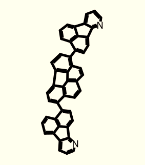 c1cnc2c(c1)-c1cccc3c(-c4ccc5c6c4ccc4ccc7c(-c8ccc9c%10c(cccc8%10)-c8cccnc8-9)ccc-5c7c46)ccc-2c13